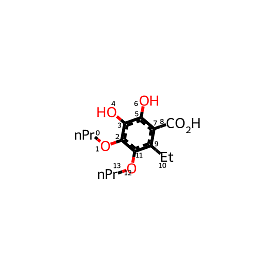 CCCOc1c(O)c(O)c(C(=O)O)c(CC)c1OCCC